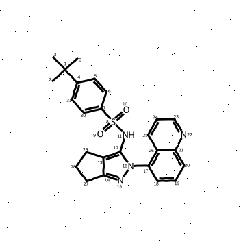 CC(C)(C)c1ccc(S(=O)(=O)Nc2c3c(nn2-c2cccc4ncccc24)CCC3)cc1